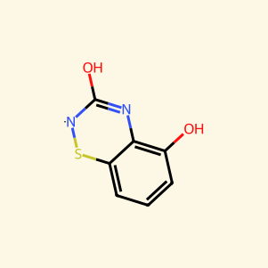 OC1=Nc2c(O)cccc2S[N]1